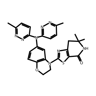 Cc1ccc(N(c2ccc3c(c2)N(c2nc4c(s2)C(=O)NC(C)(C)C4)CCO3)c2ccc(C)nn2)nn1